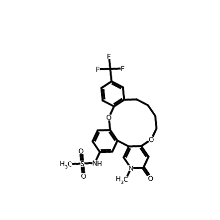 Cn1cc2c(cc1=O)OCCCCc1cc(C(F)(F)F)ccc1Oc1ccc(NS(C)(=O)=O)cc1-2